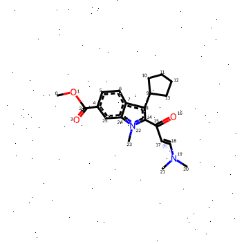 COC(=O)c1ccc2c(C3CCCC3)c(C(=O)/C=C/N(C)C)n(C)c2c1